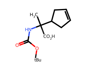 CC(C)(C)OC(=O)NC(C)(C(=O)O)C1CC=CC1